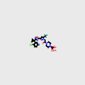 O=C(O)N1CCN(C(=O)Cn2nc(-c3nc(C4(c5cc(F)ccc5Cl)CC4)no3)cc2C(F)(F)F)CC1